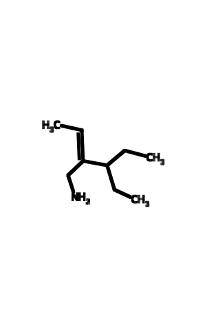 CC=C(CN)C(CC)CC